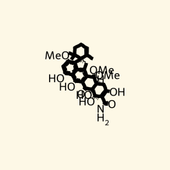 COc1cc(O)c2c(O)c3c(c4c2c1[C@]1(C4)C(C)=CCCC1(C)C)C(OC)(OC)[C@H]1CC(O)=C(C(N)=O)[C@@H](O)[C@@]1(O)C3=O